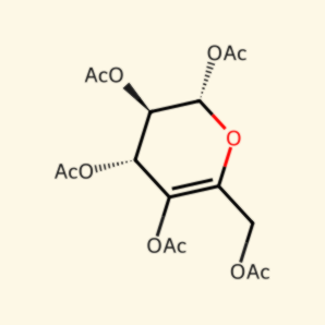 CC(=O)OCC1=C(OC(C)=O)[C@H](OC(C)=O)[C@@H](OC(C)=O)[C@H](OC(C)=O)O1